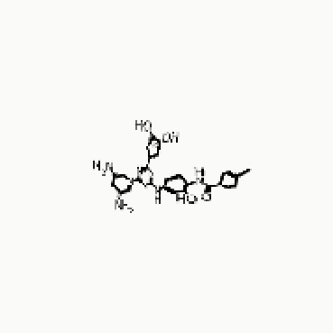 Cc1ccc(C(=O)Nc2ccc(Nc3nc(C4C[C@@H](O)[C@@H](O)C4)nc(N4C[C@H](N)C[C@H](N)C4)n3)cc2O)cc1